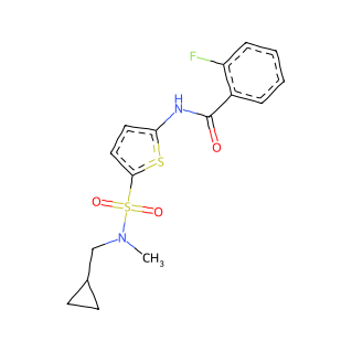 CN(CC1CC1)S(=O)(=O)c1ccc(NC(=O)c2ccccc2F)s1